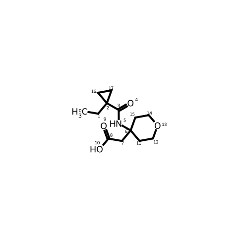 CCC1(C(=O)NC2(CC(=O)O)CCOCC2)CC1